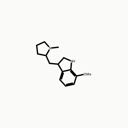 COc1cccc2c1NCC2CC1CCCN1C